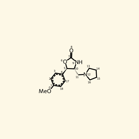 COc1ccc([C@H]2OC(=O)N[C@@H]2CN2CCCC2)cc1